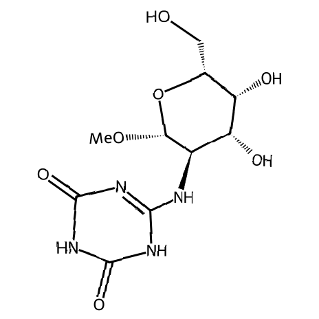 CO[C@@H]1O[C@H](CO)[C@H](O)[C@H](O)[C@H]1Nc1nc(=O)[nH]c(=O)[nH]1